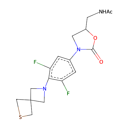 CC(=O)NCC1CN(c2cc(F)c(N3CC4(CSC4)C3)c(F)c2)C(=O)O1